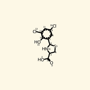 O=C(O)C1CSC(c2cc(Cl)cc(Cl)c2O)N1